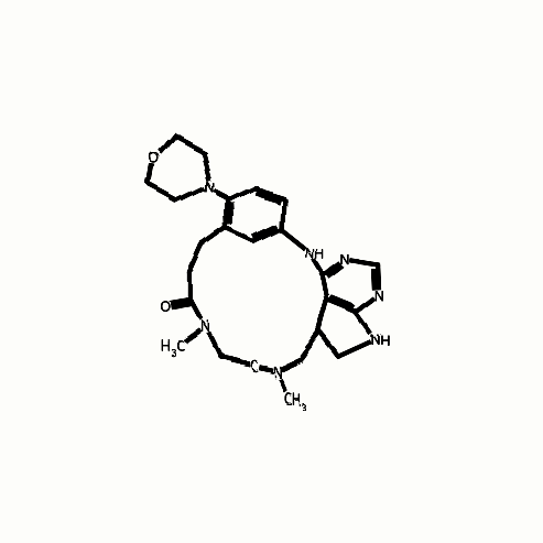 CN1CCN(C)C(=O)CCc2cc(ccc2N2CCOCC2)Nc2ncnc3c2C(CN3)C1